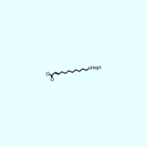 CCCCCCCCCCCCCCC/C=C/C([O])=O